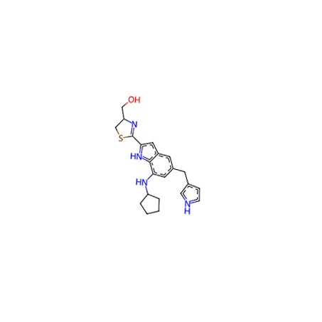 OCC1CSC(c2cc3cc(Cc4cc[nH]c4)cc(NC4CCCC4)c3[nH]2)=N1